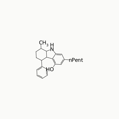 CCCCCc1cc(O)c2c(c1)NC1C(C)CCC(c3ccccc3)C21